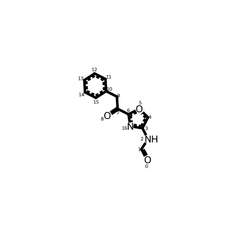 O=CNc1coc(C(=O)Cc2ccccc2)n1